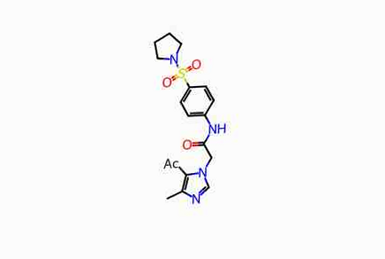 CC(=O)c1c(C)ncn1CC(=O)Nc1ccc(S(=O)(=O)N2CCCC2)cc1